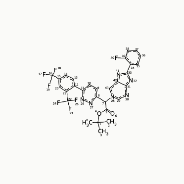 CC(C)(C)OC(=O)C(c1ccc(-c2ccc(C(F)(F)F)cc2C(F)(F)F)nn1)n1cnc2nc(-c3ccccc3F)nc-2c1